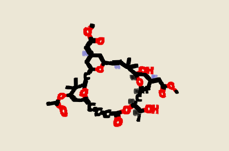 COC(=O)/C=C1\CC2/C=C/C(C)(C)[C@@]3(O)C/C(=C/C(=O)OC)C[C@@H](C[C@H]([C@@H](C)O)OC(=O)CCCC4CC(OC(C)=O)C(C)(C)C(CC(C1)O2)O4)O3